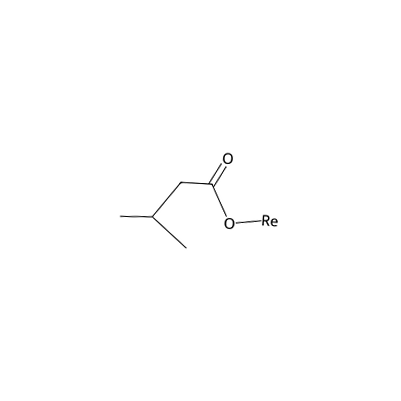 CC(C)CC(=O)[O][Re]